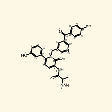 CNC(C)C(=O)Nc1ccc(-c2cccc(O)c2)n(Cc2cncc(C(=O)c3ccc(F)cc3)c2)c1=O